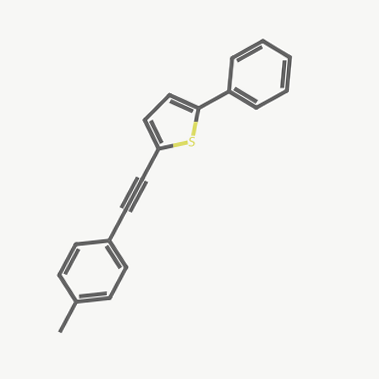 Cc1ccc(C#Cc2ccc(-c3ccccc3)s2)cc1